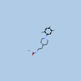 CC(C)(C)OC(=O)NCCC1CCN(c2cc(Br)c(F)cc2[N+](=O)[O-])CC1